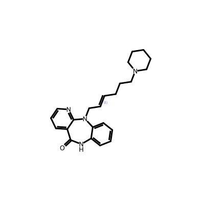 O=C1Nc2ccccc2N(C/C=C/CCCN2CCCCC2)c2ncccc21